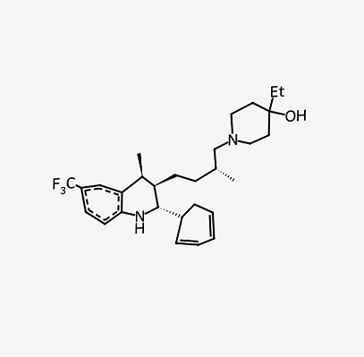 CCC1(O)CCN(C[C@H](C)CC[C@@H]2[C@H](C)c3cc(C(F)(F)F)ccc3N[C@H]2C2C=CC=CC2)CC1